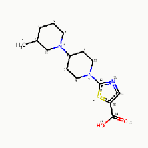 CC1CCCN(C2CCN(c3ncc(C(=O)O)s3)CC2)C1